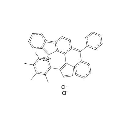 Cc1cc(C2=C(c3c4c(ccc3=C(c3ccccc3)c3ccccc3)=c3ccccc3=[C]4[Zr+2])CC=C2)c(C)c(C)c1C.[Cl-].[Cl-]